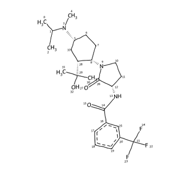 CC(C)N(C)[C@@H]1CC[C@H](N2CC[C@H](NC(=O)c3cccc(C(F)(F)F)c3)C2=O)[C@H](C(C)(C)O)C1